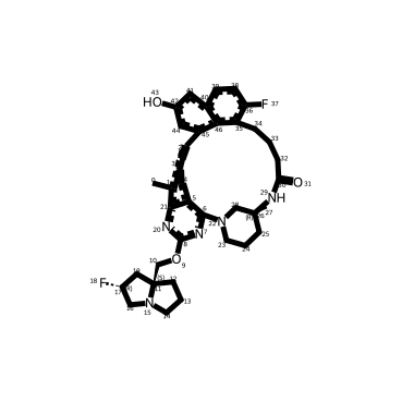 Cc1c2ncc3c(nc(OC[C@@]45CCCN4C[C@H](F)C5)nc13)N1CCC[C@](C)(C1)NC(=O)CCCc1c(F)ccc3cc(O)cc-2c13